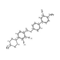 CCCc1ccc(-c2ccc(COc3ccc(C4CCC(CC)CC4)c(F)c3F)cc2)cc1F